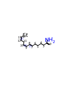 C=C(N)CCCC/C=C/C=C\C/C=C\CC